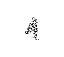 CCN(C)N=Cc1csc(-c2nc3ccc(Cl)cc3c(=O)n2-c2ccc(Cl)cn2)c1